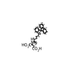 O=C(O)C[C@H](NC(=O)CCCCCSC(c1ccccc1)(c1ccccc1)c1ccccc1)C(=O)O